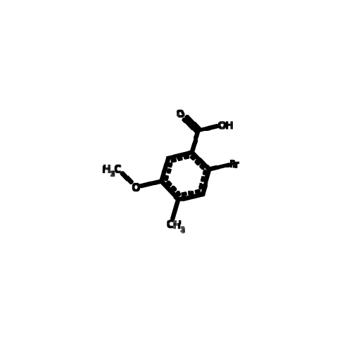 COc1cc(C(=O)O)c(Br)cc1C